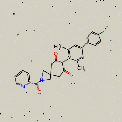 Cc1cc(-c2ccc(F)cc2)cc(C)c1C1C(=O)CC2(CC1=O)CN(C(=O)c1ccccn1)C2